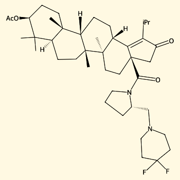 CC(=O)O[C@H]1CC[C@@]2(C)[C@@H](CC[C@]3(C)[C@H]2CC[C@@H]2C4=C(C(C)C)C(=O)C[C@]4(C(=O)N4CCC[C@H]4CN4CCC(F)(F)CC4)CC[C@]23C)C1(C)C